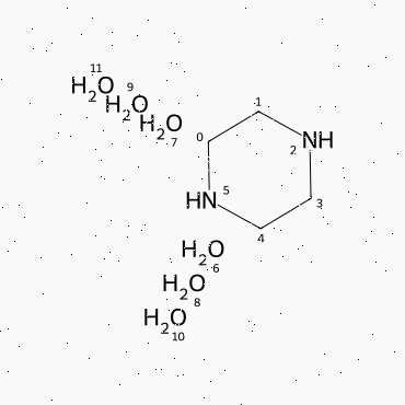 C1CNCCN1.O.O.O.O.O.O